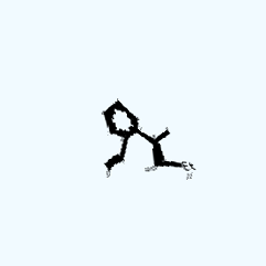 C=Cc1ccccc1C(C)=CCC